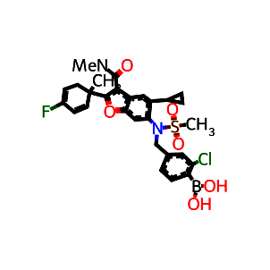 CNC(=O)c1c(C2(C)C=CC(F)=CC2)oc2cc(N(Cc3ccc(B(O)O)c(Cl)c3)S(C)(=O)=O)c(C3CC3)cc12